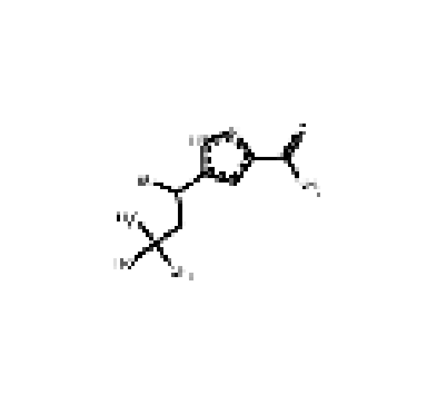 CCC(CC(C)(C)O)c1cc(C(N)=O)n[nH]1